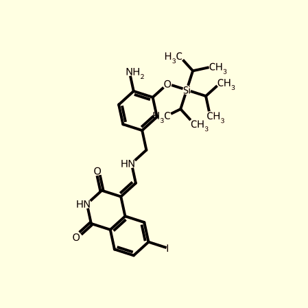 CC(C)[Si](Oc1cc(CNC=C2C(=O)NC(=O)c3ccc(I)cc32)ccc1N)(C(C)C)C(C)C